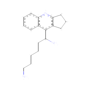 NCCCCCC(N)c1c2c(nc3ccccc13)CCC2